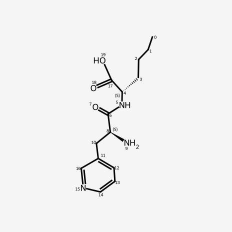 CCCC[C@H](NC(=O)[C@@H](N)Cc1cccnc1)C(=O)O